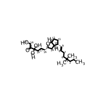 CCCC(C)(C)CCC=C[C@H]1CC[C@H]2O[C@@H](CCCC(O)(O)C(=O)CO)C[C@H]12